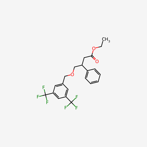 CCOC(=O)CC(COCc1cc(C(F)(F)F)cc(C(F)(F)F)c1)c1ccccc1